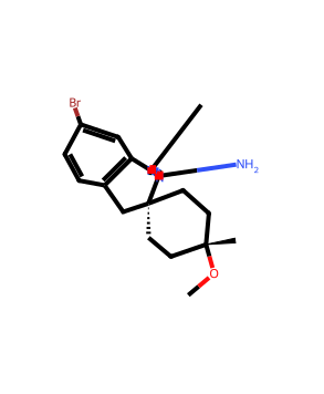 CO[C@]1(C)CC[C@]2(CC1)Cc1ccc(Br)cc1C21N=C(C)C(N)=N1